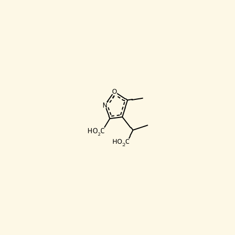 Cc1onc(C(=O)O)c1C(C)C(=O)O